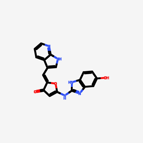 O=C1C=C(Nc2nc3cc(O)ccc3[nH]2)OC1=Cc1c[nH]c2ncccc12